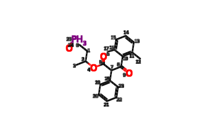 CCC(C)OC(=O)C(C(=O)c1c(C)cccc1C)c1ccccc1.O=[PH3]